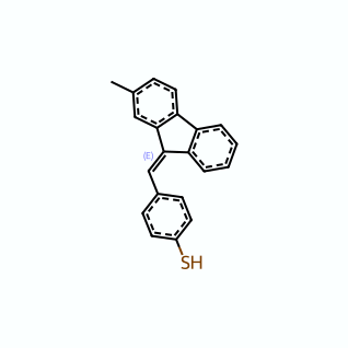 Cc1ccc2c(c1)/C(=C/c1ccc(S)cc1)c1ccccc1-2